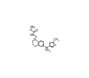 Cc1cc(N(C)c2ccc3c(c2)CCC[C@H]3CNC(=O)OC(C)(C)C)no1